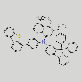 C=Cc1cc(N(c2ccc(-c3cccc4c3sc3ccccc34)cc2)c2ccc3c(c2)C(c2ccccc2)(c2ccccc2)c2ccccc2-3)c2ccccc2c1/C=C\C